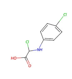 O=C(O)C(Cl)Nc1ccc(Cl)cc1